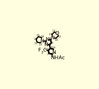 CC(=O)Nc1cc(C(F)(F)F)c(-c2cc(N3CCOCC3)nc(N3CCCCC3)n2)cn1